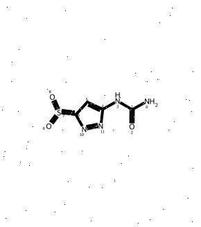 NC(=O)NC1=CC(=S(=O)=O)N=N1